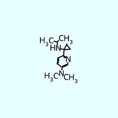 CC(C)NC1(c2ccc(N(C)C)cn2)CC1